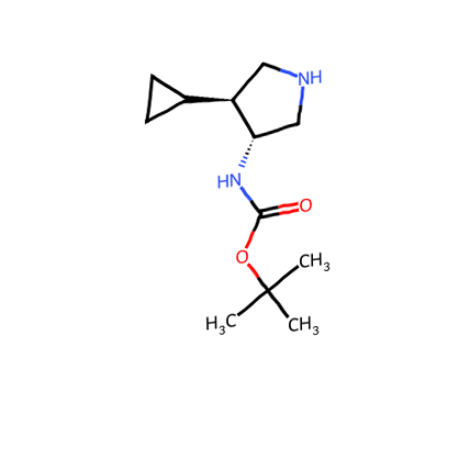 CC(C)(C)OC(=O)N[C@H]1CNC[C@@H]1C1CC1